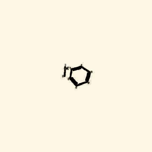 CC(C)=O.c1ccccc1